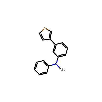 CC(C)(C)N(c1ccccc1)c1cccc(-c2ccsc2)c1